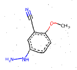 COc1ccc(NN)cc1C#N